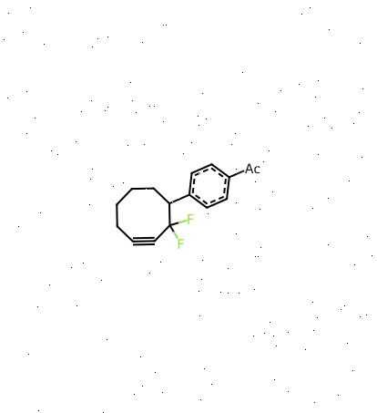 CC(=O)c1ccc(C2CCCCC#CC2(F)F)cc1